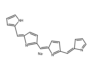 C1=CC(=CC2=NC(=CC3=NC(=Cc4ccc[nH]4)C=C3)C=C2)N=C1.[Na]